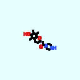 Cc1c(C)c2c(c(C)c1O)CC[C@@H](CC(=O)N1CCNCC1)O2